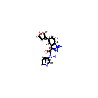 O=C(NC1CN2CCC1CC2)c1n[nH]c2ccc(-c3ccoc3)cc12